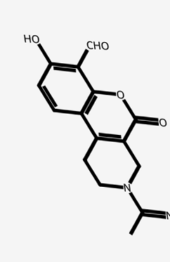 CC(=N)N1CCc2c(c(=O)oc3c(C=O)c(O)ccc23)C1